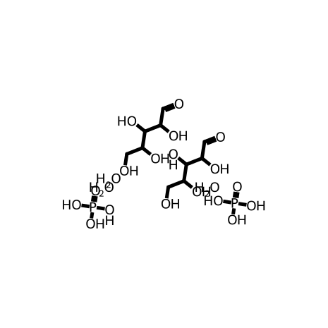 O.O.O.O=CC(O)C(O)C(O)CO.O=CC(O)C(O)C(O)CO.O=P(O)(O)O.O=P(O)(O)O